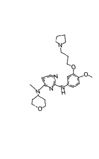 COc1ccc(Nc2nccc(N(C)C3CCOCC3)n2)cc1OCCCN1CCCC1